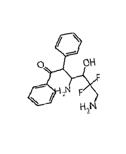 NCC(F)(F)C(O)C(N)C(C(=O)c1ccccc1)c1ccccc1